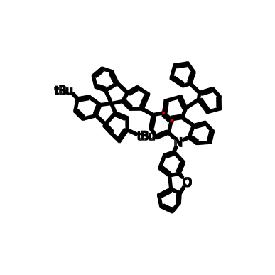 CC(C)(C)c1ccc2c(c1)C1(c3ccccc3-c3ccc(-c4ccc(N(c5ccc6c(c5)oc5ccccc56)c5ccccc5-c5ccccc5-c5ccccc5-c5ccccc5)cc4)cc31)c1cc(C(C)(C)C)ccc1-2